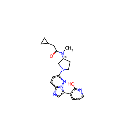 CN(C(=O)CC1CC1)[C@H]1CCN(c2ccc3ncc(-c4cccnc4O)n3n2)C1